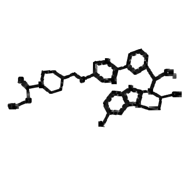 CC(c1cccc(-c2ncc(OCC3CCN(C(=O)OC(C)(C)C)CC3)cn2)c1)N1c2nc3ccc(Br)cc3n2C=CC1O